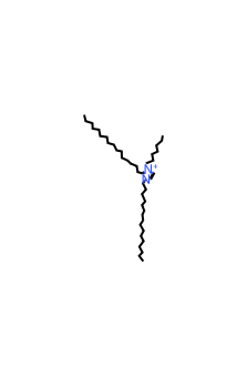 CCCCCCCCCCCCCCCCc1n(CCCCCCCCCCCCCCCC)cc[n+]1CCCCCCC